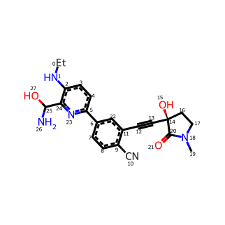 CCNc1ccc(-c2ccc(C#N)c(C#C[C@]3(O)CCN(C)C3=O)c2)nc1C(N)O